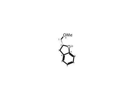 COC[C@H]1Cc2ccccc2O1